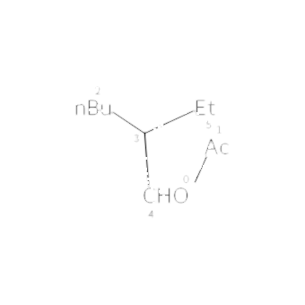 CC(C)=O.CCCCC(C=O)CC